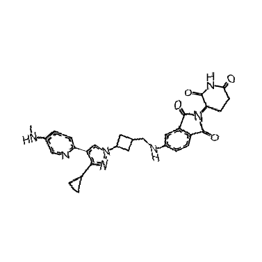 CNc1ccc(-c2cn(C3CC(CNc4ccc5c(c4)C(=O)N(C4CCC(=O)NC4=O)C5=O)C3)nc2C2CC2)nc1